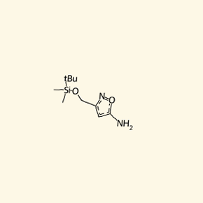 CC(C)(C)[Si](C)(C)OCc1cc(N)on1